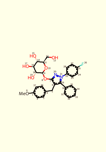 COc1ccc(Cc2c(O[C@@H]3O[C@H](CO)[C@@H](O)[C@H](O)[C@H]3O)nn(-c3ccc(F)cc3)c2-c2ccccc2)cc1